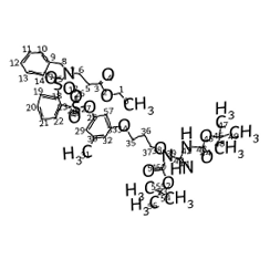 CCOC(=O)CCN(Cc1ccccc1)S(=O)(=O)c1ccccc1S(=O)(=O)Oc1cc(C)cc(OCCCON(C(=N)NC(=O)OC(C)(C)C)C(=O)OC(C)(C)C)c1